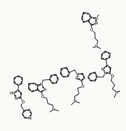 CN(C)CCCOc1cc(-c2ccccc2)nn1Cc1ccccc1.CN(C)CCCOc1ccn(Cc2ccccc2)n1.CN(C)CCCOc1nn(C)c2ccccc12.CN(C)CCCOc1nn(Cc2ccccc2)c2ccccc12.c1ccc(-c2cc(OCc3ccncc3)n[nH]2)cc1